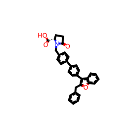 O=C(O)[C@@H]1CCC(=O)N1Cc1ccc(-c2ccc(-c3c(Cc4ccccc4)oc4ccccc34)cc2)cc1